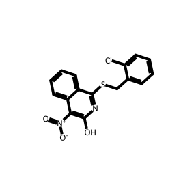 O=[N+]([O-])c1c(O)nc(SCc2ccccc2Cl)c2ccccc12